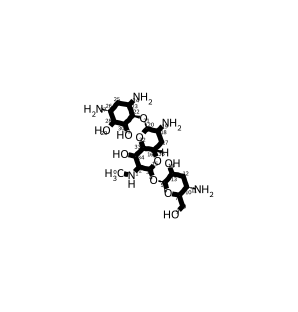 CNC1C(O[C@H]2OC(CO)[C@@H](N)CC2O)O[C@H]2CC(N)[C@@H](O[C@@H]3C(N)C[C@@H](N)C(O)C3O)OC2C1O